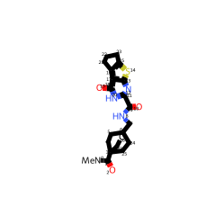 CNC(=O)C12CCC(CNC(=O)c3nc4sc5c(c4c(=O)[nH]3)CCC5)(CC1)CC2